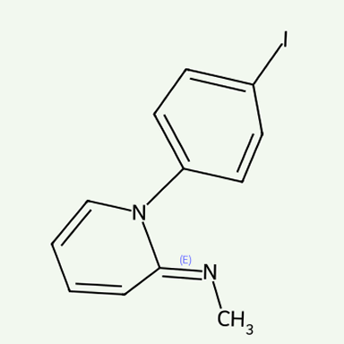 C/N=c1\ccccn1-c1ccc(I)cc1